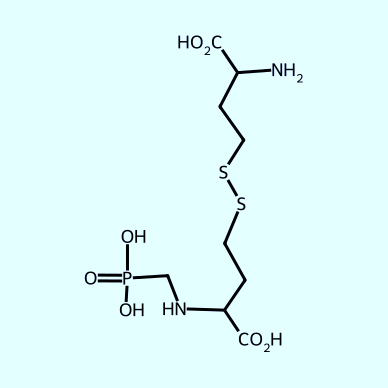 NC(CCSSCCC(NCP(=O)(O)O)C(=O)O)C(=O)O